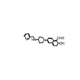 O=CC1=c2ccc(N3CCC(NCc4cccnc4)CC3)cc2=CCC1O